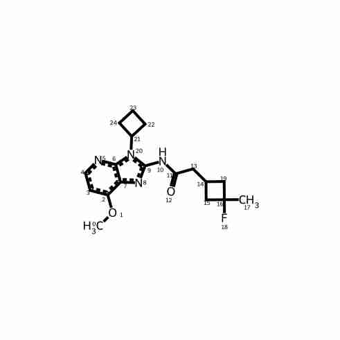 COc1ccnc2c1nc(NC(=O)CC1CC(C)(F)C1)n2C1CCC1